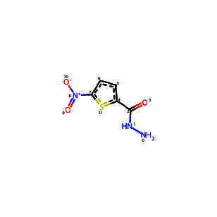 NNC(=O)c1ccc([N+](=O)[O-])s1